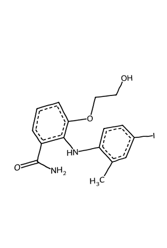 Cc1cc(I)ccc1Nc1c(OCCO)cccc1C(N)=O